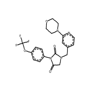 O=C1CN(Cc2ccnc(N3CCOCC3)c2)C(=O)N1c1ccc(OC(F)(F)F)cc1